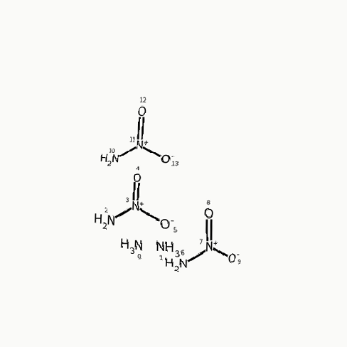 N.N.N[N+](=O)[O-].N[N+](=O)[O-].N[N+](=O)[O-]